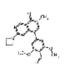 COc1cc(-c2cn(C)c(=O)c3cnc(N4CCC4)cc23)cc(OC)c1C=O